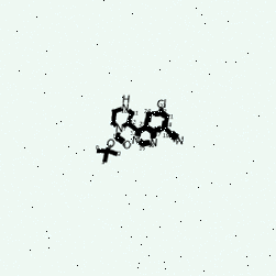 CC(C)(C)OC(=O)N1CCNCC1c1ncnc2c(C#N)cc(Cl)cc12